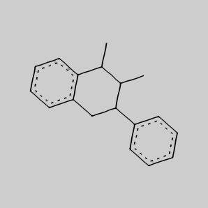 CC1c2ccccc2CC(c2ccccc2)C1C